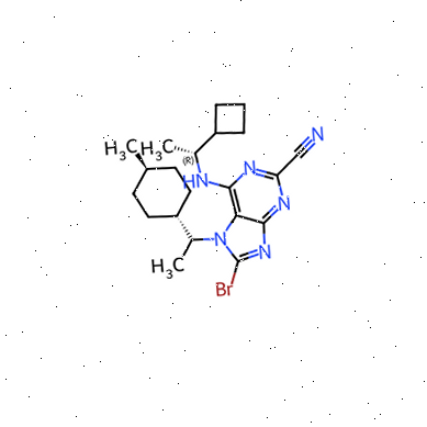 CC([C@H]1CC[C@H](C)CC1)n1c(Br)nc2nc(C#N)nc(N[C@H](C)C3CCC3)c21